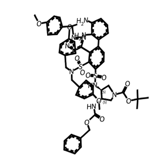 COc1ccc(CN(Cc2ccc(OC)cc2)S(=O)(=O)c2c(S(=O)(=O)N[C@H]3CN(C(=O)OC(C)(C)C)C[C@@H]3NC(=O)OCc3ccccc3)ccc(-c3cccc(N)c3N)c2-c2nnn(Cc3ccc(OC)cc3)n2)cc1